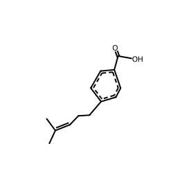 CC(C)=CCCc1ccc(C(=O)O)cc1